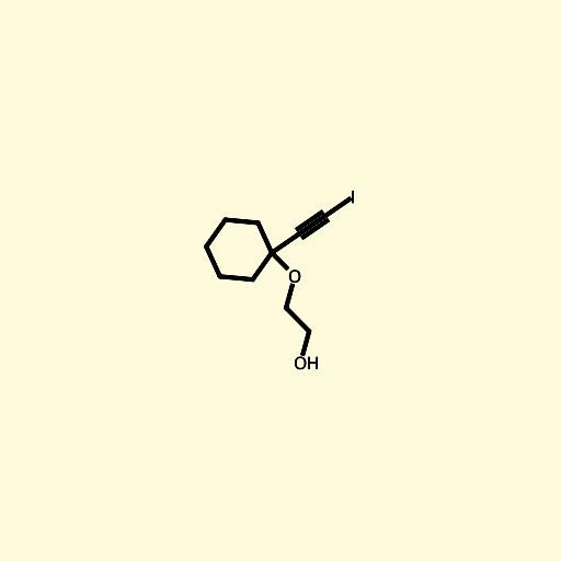 OCCOC1(C#CI)CCCCC1